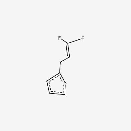 FC(F)=CCc1cccs1